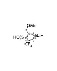 COCc1cccc(C(F)(F)F)c1S(=O)(=O)O.[NaH]